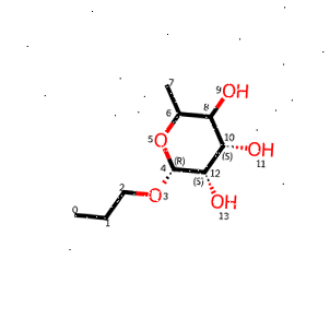 CCCO[C@@H]1OC(C)C(O)[C@H](O)[C@@H]1O